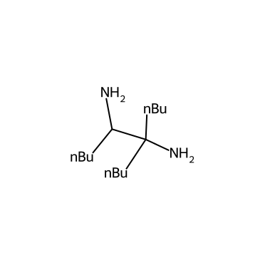 CCCCC(N)C(N)(CCCC)CCCC